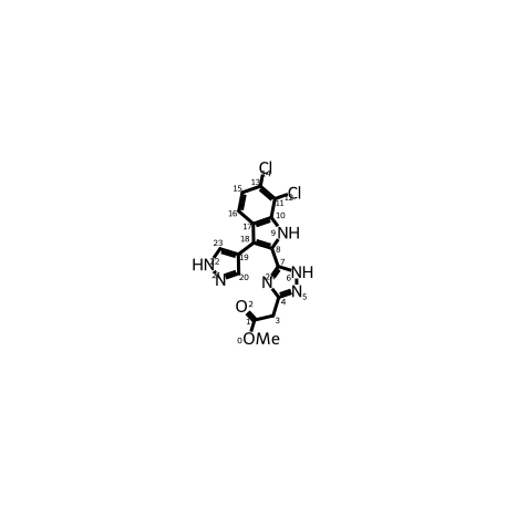 COC(=O)Cc1n[nH]c(-c2[nH]c3c(Cl)c(Cl)ccc3c2-c2cn[nH]c2)n1